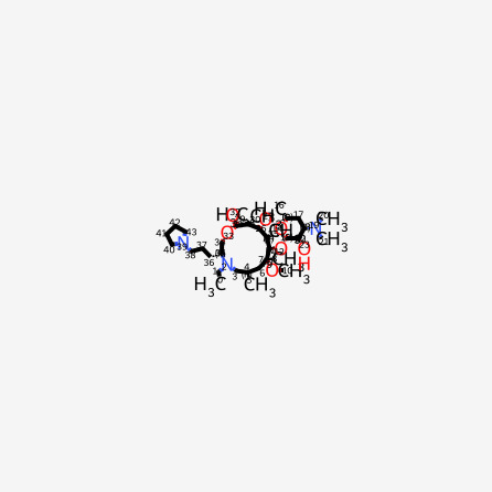 CCN1C[C@H](C)C[C@@](C)(OC)[C@H](O[C@@H]2O[C@H](C)C[C@H](N(C)C)[C@H]2O)[C@@H](C)C(=O)C(C)(C)C(=O)OC[C@H]1CCCN1CCCC1